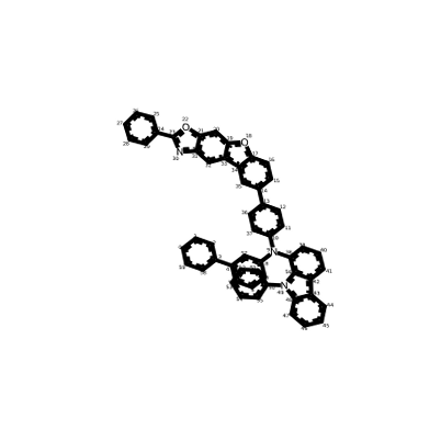 c1ccc(-c2cccc(N(c3ccc(-c4ccc5oc6cc7oc(-c8ccccc8)nc7cc6c5c4)cc3)c3cccc4c5ccccc5n(-c5ccccc5)c34)c2)cc1